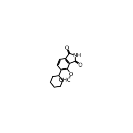 O=COc1c(C2CCCCC2)ccc2c1C(=O)NC2=O